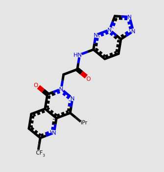 CC(C)c1nn(CC(=O)Nc2ccc3nncn3n2)c(=O)c2ccc(C(F)(F)F)nc12